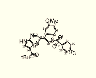 COc1ccc2c(c1)c(-c1cnc3[nH]cc(C(=O)C(C)(C)C)c3n1)cn2S(=O)(=O)c1ccc(C)cc1